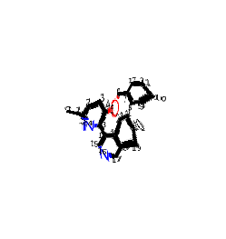 Cc1ccc(OCc2ccccc2)c(-c2cncc3ccccc23)n1